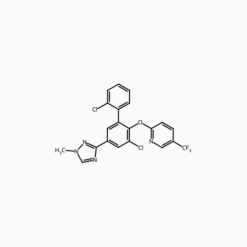 Cn1cnc(-c2cc(Cl)c(Oc3ccc(C(F)(F)F)cn3)c(-c3ccccc3Cl)c2)n1